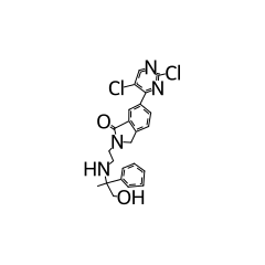 CC(CO)(NCCN1Cc2ccc(-c3nc(Cl)ncc3Cl)cc2C1=O)c1ccccc1